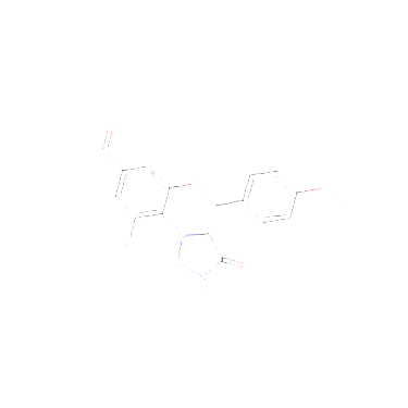 COc1ccc(COc2cc(C=O)cc(F)c2N2CC(=O)NS2)cc1